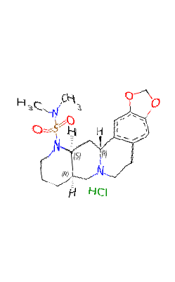 CN(C)S(=O)(=O)N1CCC[C@@H]2CN3CCc4cc5c(cc4[C@H]3C[C@@H]21)OCO5.Cl